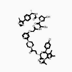 Cc1ncsc1-c1ccc([C@H](C)NC(=O)[C@@H]2C[C@@H](O)CN2C(=O)C(NC(=O)COc2ccnc(N3CCN(C(=O)CC[C@@H]4N=C(c5ccc(Cl)cc5)c5c(sc(C)c5C)-n5c(C)nnc54)CC3)c2)C(C)(C)C)cc1